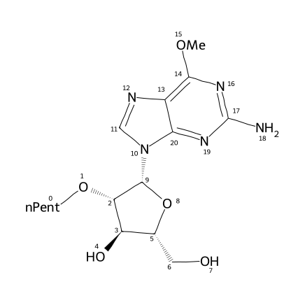 CCCCCO[C@H]1[C@H](O)[C@@H](CO)O[C@H]1n1cnc2c(OC)nc(N)nc21